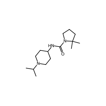 CC(C)N1CCC(NC(=O)N2CCCC2(C)C)CC1